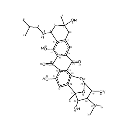 CC(C)CNC1CC(C)(O)Cc2cc3c(c(O)c21)C(=O)c1c(O)cc2c(c1C3=O)OC1OC2(C)C(O)C(N(C)C)C1O